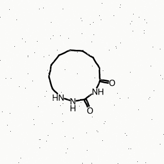 O=C1CCCCCCCCNNC(=O)N1